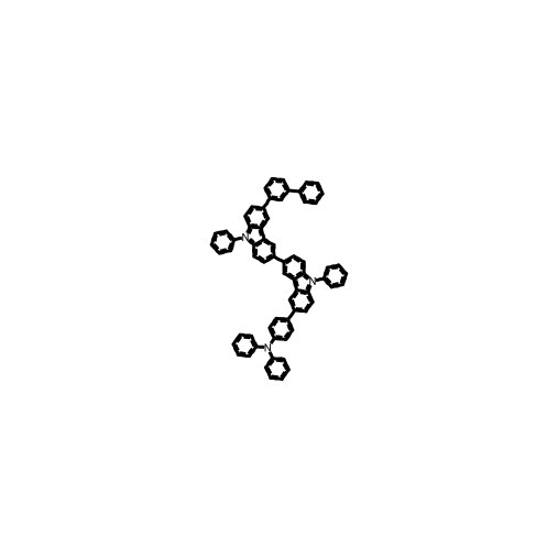 c1ccc(-c2cccc(-c3ccc4c(c3)c3cc(-c5ccc6c(c5)c5cc(-c7ccc(N(c8ccccc8)c8ccccc8)cc7)ccc5n6-c5ccccc5)ccc3n4-c3ccccc3)c2)cc1